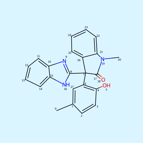 Cc1ccc(O)c(C2(c3nc4ccccc4[nH]3)C(=O)N(C)c3ccccc32)c1